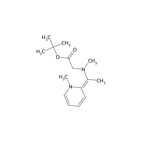 C/C(=C1\C=CC=CN1C)N(C)CC(=O)OC(C)(C)C